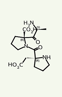 C[C@H](N)C(=O)[C@@]1(C(=O)O)CCCN1C(=O)[C@]1(CC(=O)O)CCCN1